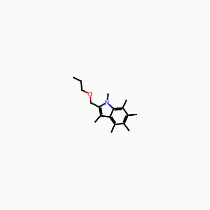 CCCOCc1c(C)c2c(C)c(C)c(C)c(C)c2n1C